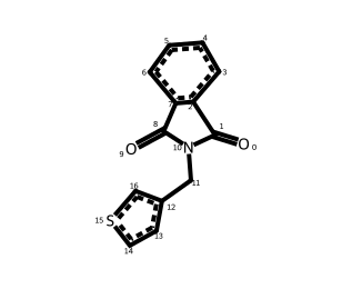 O=C1c2ccccc2C(=O)N1Cc1ccsc1